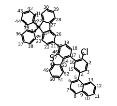 Clc1ccc(-c2cccc3ccccc23)cc1-c1ccc(-c2ccc3c(c2)-c2ccccc2C3(c2ccccc2)c2ccccc2)c2sc3ccccc3c12